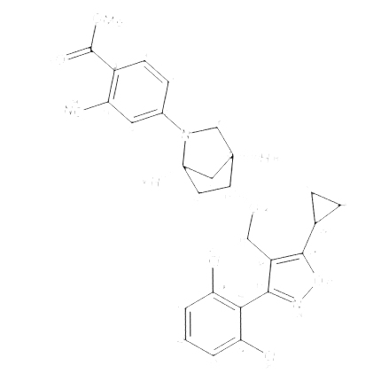 COC(=O)c1ccc(N2C[C@@H]3C[C@H]2C[C@H]3OCc2c(-c3c(Cl)cccc3Cl)noc2C2CC2)cc1C#N